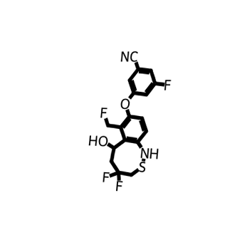 N#Cc1cc(F)cc(Oc2ccc3c(c2CF)C(O)CC(F)(F)CSN3)c1